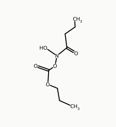 CCCOC(=O)ON(O)C(=O)CCC